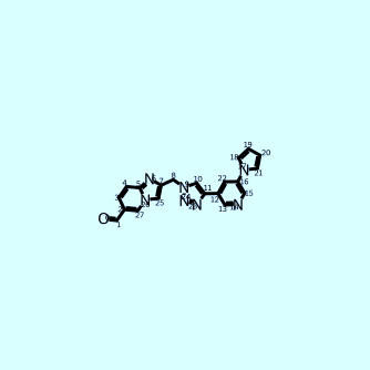 O=Cc1ccc2nc(Cn3cc(-c4cncc(-n5cccc5)c4)nn3)cn2c1